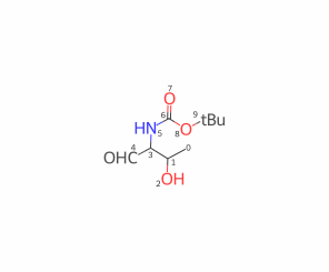 CC(O)C(C=O)NC(=O)OC(C)(C)C